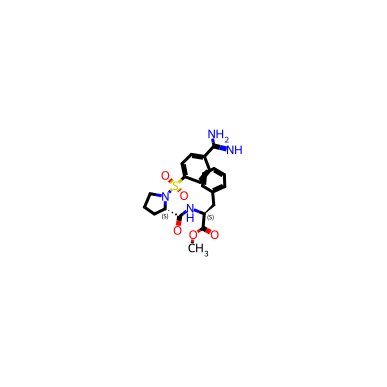 COC(=O)[C@H](Cc1ccccc1)NC(=O)[C@@H]1CCCN1S(=O)(=O)c1ccc(C(=N)N)cc1